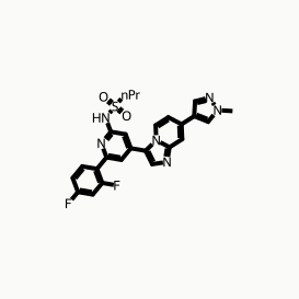 CCCS(=O)(=O)Nc1cc(-c2cnc3cc(-c4cnn(C)c4)ccn23)cc(-c2ccc(F)cc2F)n1